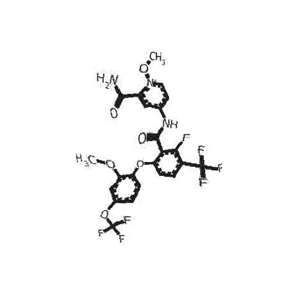 COc1cc(OC(F)(F)F)ccc1Oc1ccc(C(F)(F)F)c(F)c1C(=O)Nc1cc[n+](OC)c(C(N)=O)c1